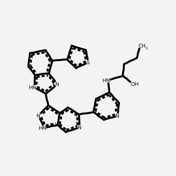 CCCC(O)Nc1cncc(-c2cc3c(-c4nc5c(-c6ccsc6)cccc5[nH]4)n[nH]c3cn2)c1